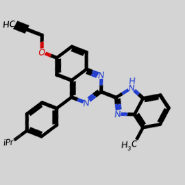 C#CCOc1ccc2nc(-c3nc4c(C)cccc4[nH]3)nc(-c3ccc(C(C)C)cc3)c2c1